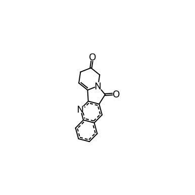 O=C1CC=C2c3nc4ccccc4cc3C(=O)N2C1